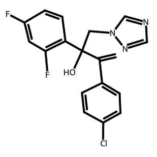 C=C(c1ccc(Cl)cc1)C(O)(Cn1cncn1)c1ccc(F)cc1F